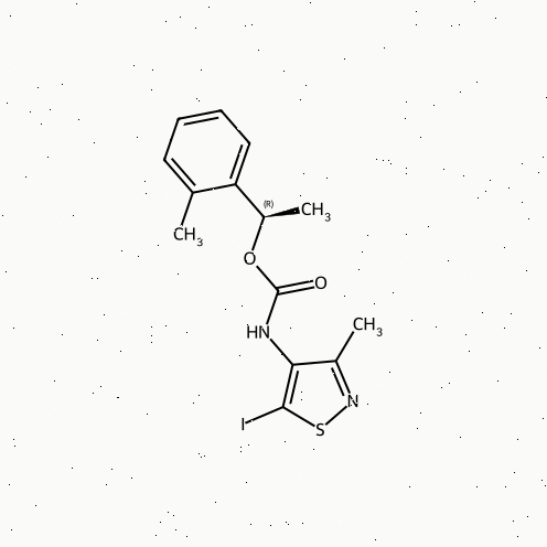 Cc1ccccc1[C@@H](C)OC(=O)Nc1c(C)nsc1I